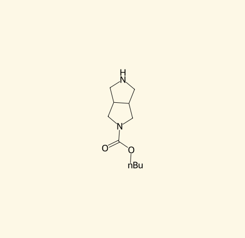 CCCCOC(=O)N1CC2CNCC2C1